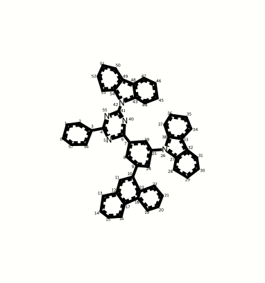 c1ccc(-c2nc(-c3cc(-c4cc5ccccc5c5ccccc45)cc(-n4c5ccccc5c5ccccc54)c3)nc(-n3c4ccccc4c4ccccc43)n2)cc1